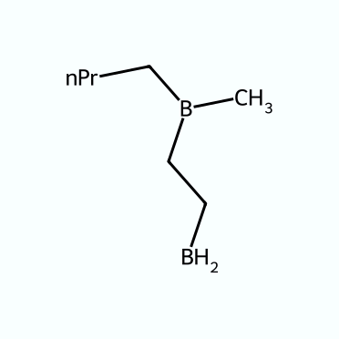 BCCB(C)CCCC